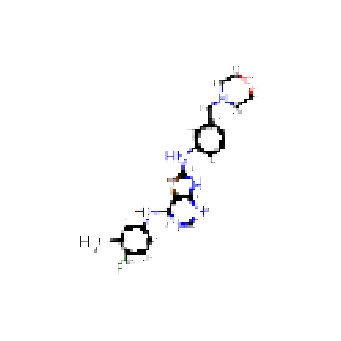 Cc1cc(Nc2ncnc3nc(Nc4cccc(CN5CCOCC5)c4)sc23)ccc1F